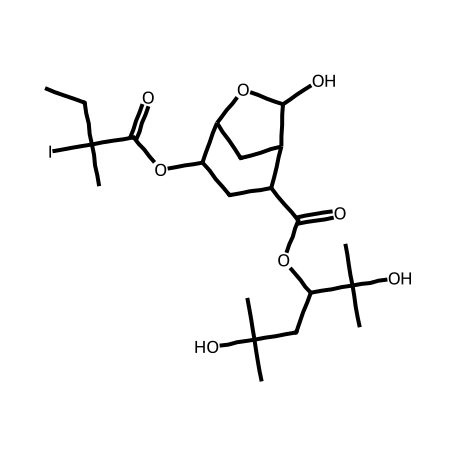 CCC(C)(I)C(=O)OC1CC(C(=O)OC(CC(C)(C)O)C(C)(C)O)C2CC1OC2O